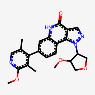 COc1ncc(C)c(-c2ccc3c(c2)[nH]c(=O)c2cnn(C4COCC4OC)c23)c1C